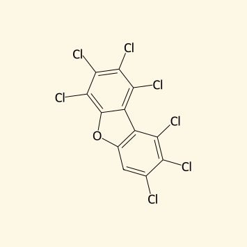 Clc1cc2oc3c(Cl)c(Cl)c(Cl)c(Cl)c3c2c(Cl)c1Cl